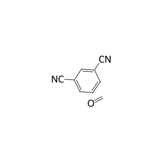 C=O.N#Cc1cccc(C#N)c1